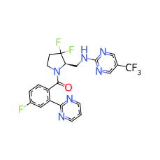 O=C(c1ccc(F)cc1-c1ncccn1)N1CCC(F)(F)[C@H]1CNc1ncc(C(F)(F)F)cn1